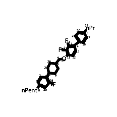 CCCCCc1ccc(C2CCC(COc3ccc(-c4ccc(CCC)cc4)c(F)c3F)CC2)c(F)c1